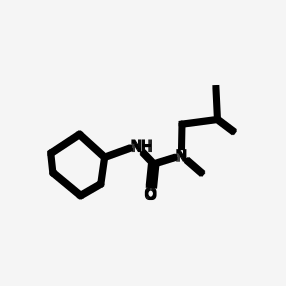 CC(C)CN(C)C(=O)NC1CCCCC1